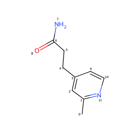 Cc1cc([CH]CC(N)=O)ccn1